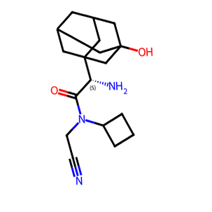 N#CCN(C(=O)[C@@H](N)C12CC3CC(CC(O)(C3)C1)C2)C1CCC1